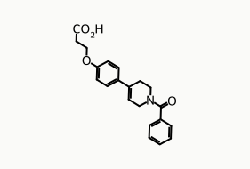 O=C(O)CCOc1ccc(C2=CCN(C(=O)c3ccccc3)CC2)cc1